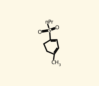 CCCS(=O)(=O)C1=CC=C(C)CC1